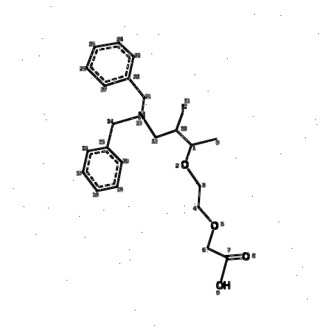 CC(OCCOCC(=O)O)C(F)CN(Cc1ccccc1)Cc1ccccc1